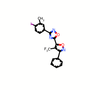 Cc1cc(-c2noc(-c3onc(-c4ccccc4)c3C(F)(F)F)n2)ccc1I